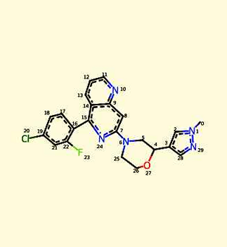 Cn1cc(C2CN(c3cc4ncccc4c(-c4ccc(Cl)cc4F)n3)CCO2)cn1